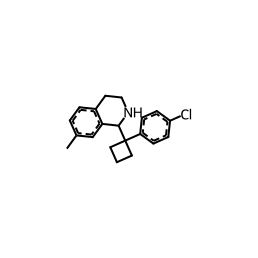 Cc1ccc2c(c1)C(C1(c3ccc(Cl)cc3)CCC1)NCC2